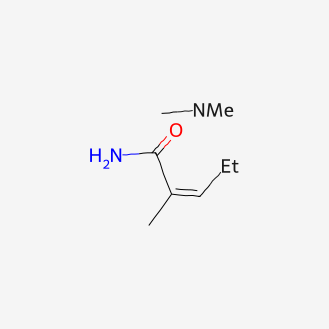 CCC=C(C)C(N)=O.CNC